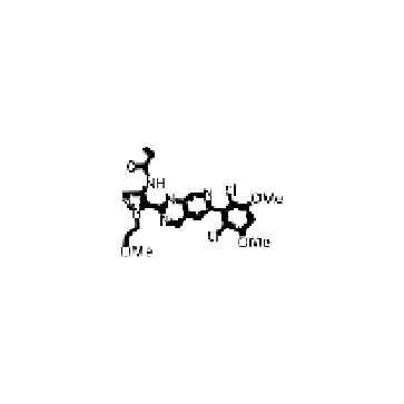 C=CC(=O)Nc1cnn(CCOC)c1-c1ncc2cc(-c3c(Cl)c(OC)cc(OC)c3Cl)ncc2n1